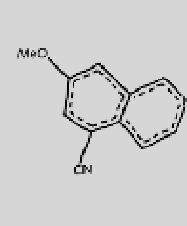 COc1cc(C#N)c2ccncc2c1